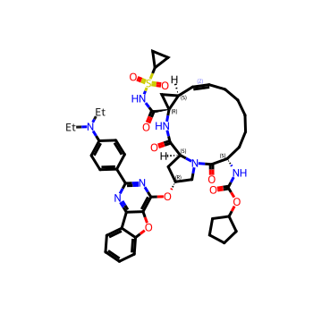 CCN(CC)c1ccc(-c2nc(O[C@@H]3C[C@H]4C(=O)N[C@]5(C(=O)NS(=O)(=O)C6CC6)C[C@H]5/C=C\CCCCC[C@H](NC(=O)OC5CCCC5)C(=O)N4C3)c3oc4ccccc4c3n2)cc1